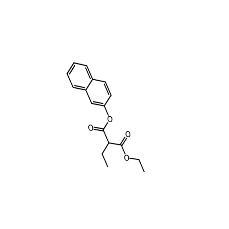 CCOC(=O)C(CC)C(=O)Oc1ccc2ccccc2c1